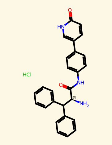 Cl.N[C@H](C(=O)Nc1ccc(-c2ccc(=O)[nH]c2)cc1)C(c1ccccc1)c1ccccc1